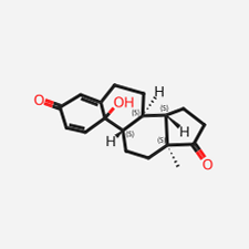 C[C@]12CC[C@H]3[C@@H](CCC4=CC(=O)C=CC43O)[C@@H]1CCC2=O